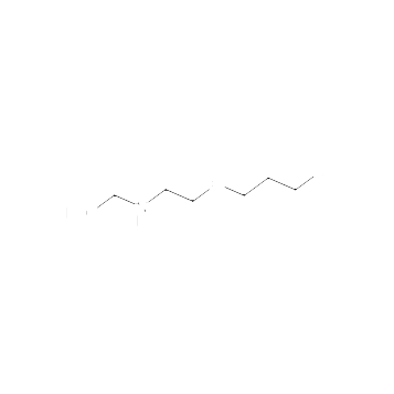 CCNCCOCCC[S]